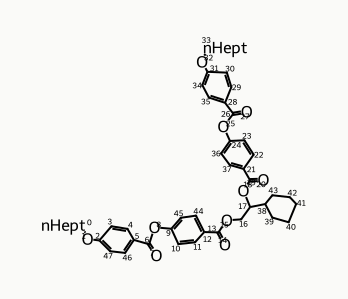 CCCCCCCOc1ccc(C(=O)Oc2ccc(C(=O)OCC(OC(=O)c3ccc(OC(=O)c4ccc(OCCCCCCC)cc4)cc3)C3CCCCC3)cc2)cc1